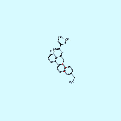 C=C/C(=C\C)C(=N)/N=C(/CCc1ccc(CC)cc1)c1c(C)cccc1-c1ccccc1